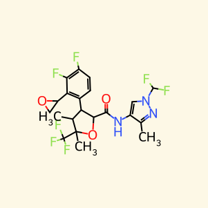 Cc1nn(C(F)F)cc1NC(=O)C1OC(C)(C(F)(F)F)C(C)C1c1ccc(F)c(F)c1C1CO1